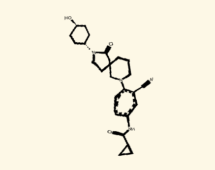 N#Cc1cc(NC(=O)C2CC2)ccc1N1CCCC2(CCN([C@H]3CC[C@H](O)CC3)C2=O)C1